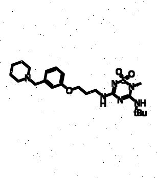 CN1C(NC(C)(C)C)=NC(NCCCOc2cccc(CN3CCCCC3)c2)=NS1(=O)=O